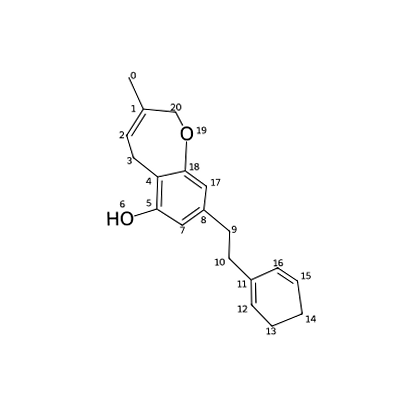 CC1=CCc2c(O)cc(CCC3=CCCC=C3)cc2OC1